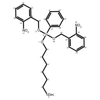 CCCCCCCCCCCCCCCCO[Si](OCc1ccccc1[N+](=O)[O-])(OCc1ccccc1[N+](=O)[O-])c1ccccc1